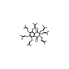 CC(C)=CCc1c(CC=C(C)C)c(CC=C(C)C)c2c(c1CC=C(C)C)C(=O)C(CC=C(C)C)C(CC=C(C)C)(CC=C(C)C)C2=O